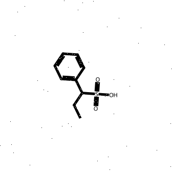 CCC(c1ccccc1)S(=O)(=O)O